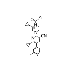 Cc1cc(-c2cc(C#N)c(N3CCN(C(=O)C4CC4)[C@H](C4CC4)C3)nc2C2CC2)ccn1